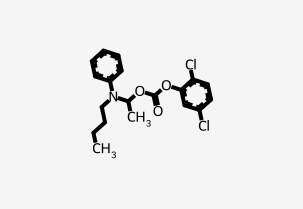 CCCCN(c1ccccc1)C(C)OC(=O)Oc1cc(Cl)ccc1Cl